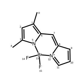 Cc1cc(C)n2c1C=C1C=CC=[N+]1[B-]2(F)F